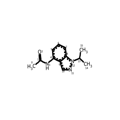 CC(=O)Nc1cccc2c1cnn2C(C)C